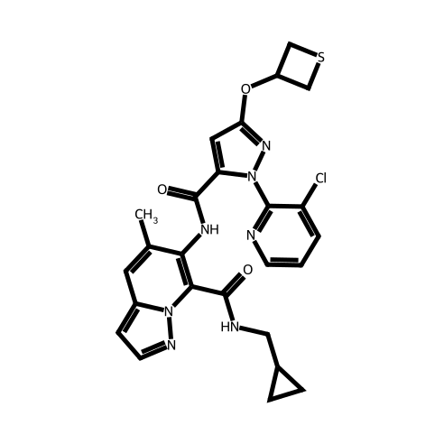 Cc1cc2ccnn2c(C(=O)NCC2CC2)c1NC(=O)c1cc(OC2CSC2)nn1-c1ncccc1Cl